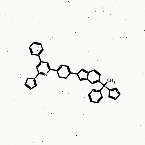 CC(C1=C=CC=C1)(c1ccccc1)c1ccc2c(c1)=CC(C1=CC=C(c3cc(-c4ccccc4)cc(C4=CC=CC4)n3)CC1)C=2